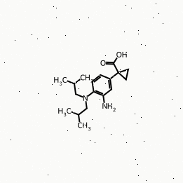 CC(C)CN(CC(C)C)c1ccc(C2(C(=O)O)CC2)cc1N